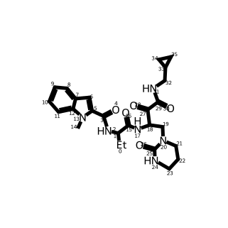 CCC(NC(=O)c1cc2ccccc2n1C)C(=O)NC(CN1CCCNC1=O)C(=O)C(=O)NCC1CC1